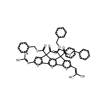 N#CC(C#N)=Cc1cc2c(s1)-c1sc3c(c1C2(C(=O)OCc1ccccc1)C(=O)OCc1ccccc1)C(C(=O)OCc1ccccc1)(C(=O)OCc1ccccc1)c1cc(N=C(C#N)C#N)sc1-3